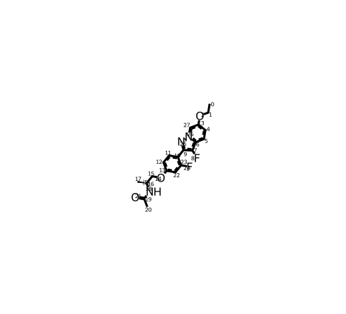 CCOc1ccc2c(F)c(-c3ccc(OC[C@H](C)NC(C)=O)cc3F)nn2c1